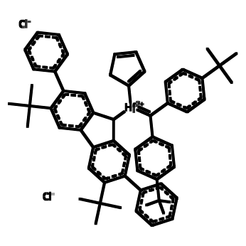 CC(C)(C)c1ccc([C](c2ccc(C(C)(C)C)cc2)=[Hf+2]([C]2=CC=CC2)[CH]2c3cc(-c4ccccc4)c(C(C)(C)C)cc3-c3cc(C(C)(C)C)c(-c4ccccc4)cc32)cc1.[Cl-].[Cl-]